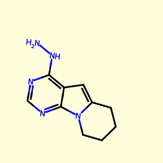 NNc1ncnc2c1cc1n2CCCC1